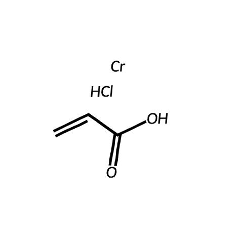 C=CC(=O)O.Cl.[Cr]